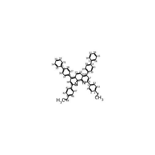 CCc1ccc(-c2cc(-c3ccc(-c4ccccc4)cc3)c3ccc4c(-c5ccc(-c6ccccc6)cc5)cc(-c5ccc(CC)cc5)nc4c3n2)cc1